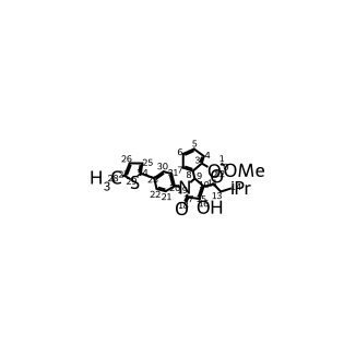 COCOc1ccccc1C1C(C(=O)CC(C)C)=C(O)C(=O)N1c1ccc(-c2ccc(C)s2)cc1